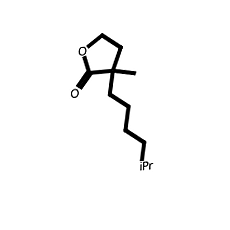 CC(C)CCCCC1(C)CCOC1=O